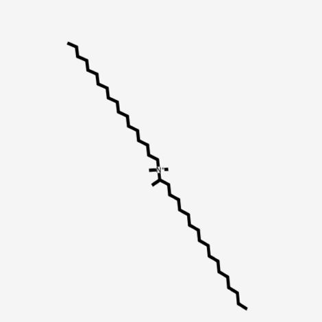 CCCCCCCCCCCCCCCCCC[N+](C)(C)C(C)CCCCCCCCCCCCCCCCC